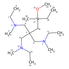 CCN(C)CC(CN(C)CC)(CN(C)CC)C[Si](C)(CC)OC